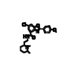 COc1ccc(-c2nc3c(C(=O)NCCC4CCCC(C)N4C)cc(Cl)cc3o2)cc1